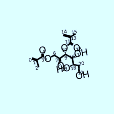 C=C(C)C(=O)OCC(=O)[C@H](OC(=O)C(=C)C)[C@@H](O)[C@H](O)CO